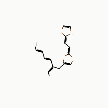 C/C=C/C=C/C(=C/C)CC1=CS/C(=C/C=C2SC=CS2)S1